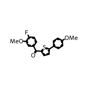 COc1ccc(-c2ccc(C(=O)c3ccc(F)c(OC)c3)s2)cc1